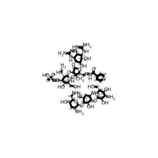 CN[C@@H]1[C@H](O[C@H]2[C@H](O[C@H]3[C@H](O)[C@@H](O)[C@H](NC(=N)N)[C@@H](O)[C@@H]3NC(=N)N)O[C@@H](/C=N/NC(=O)c3ccncc3)[C@@]2(C)O)O[C@@H](CO)[C@H](O)[C@H]1O.NC[C@H]1O[C@H](O[C@H]2[C@H](O)[C@@H](O[C@H]3O[C@H](CO)[C@@H](O)[C@H](N)[C@H]3O)[C@H](N)C[C@@H]2N)[C@H](N)C[C@@H]1O.O=S(=O)(O)O